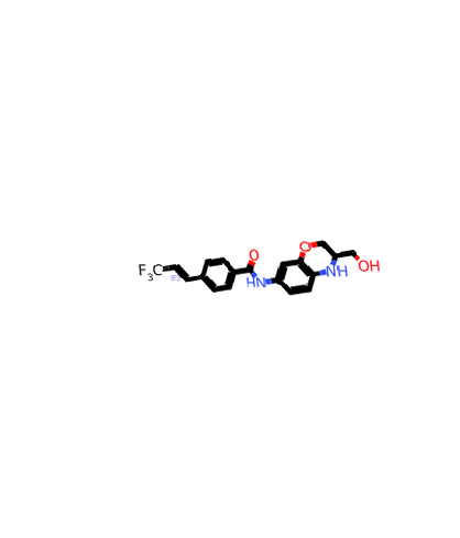 O=C(Nc1ccc2c(c1)OCC(CO)N2)c1ccc(/C=C/C(F)(F)F)cc1